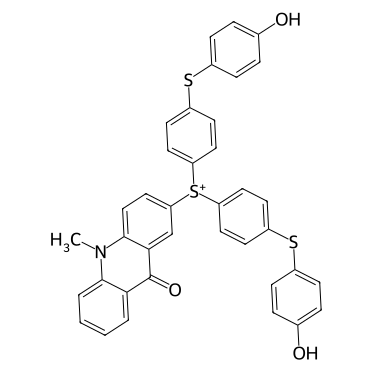 Cn1c2ccccc2c(=O)c2cc([S+](c3ccc(Sc4ccc(O)cc4)cc3)c3ccc(Sc4ccc(O)cc4)cc3)ccc21